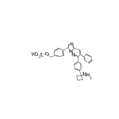 NC1(c2ccc(-c3nn4c(-c5ccc(COC(=O)O)cc5)cnc4cc3-c3ccccc3)cc2)CCC1